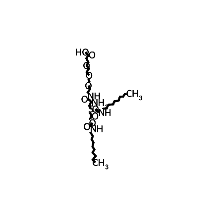 CCCCCCCCCCNC(=O)OCC(CSCC(N)C(=O)NCCOCCOCCOCCC(=O)O)OC(=O)NCCCCCCCCCC